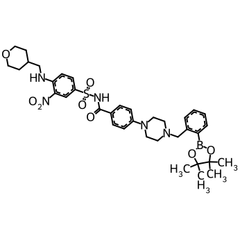 CC1(C)OB(c2ccccc2CN2CCN(c3ccc(C(=O)NS(=O)(=O)c4ccc(NCC5CCOCC5)c([N+](=O)[O-])c4)cc3)CC2)OC1(C)C